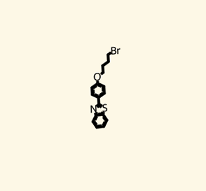 BrCCCCOc1ccc(-c2nc3ccccc3s2)cc1